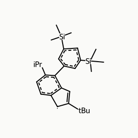 CC(C)c1ccc2c(c1-c1cc([Si](C)(C)C)cc([Si](C)(C)C)c1)C=C(C(C)(C)C)[CH]2